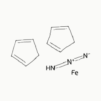 C1=CCC=C1.C1=CCC=C1.[Fe].[N-]=[N+]=N